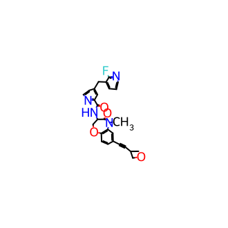 CN1C(=O)C(NC(=O)c2cc(Cc3cccnc3F)ccn2)COc2ccc(C#CC3COC3)cc21